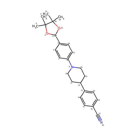 CC1(C)OB(c2ccc(N3CCC(c4ccc(C#N)cc4)CC3)cc2)OC1(C)C